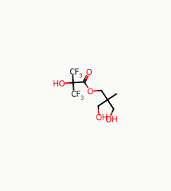 CC(CO)(CO)COC(=O)C(O)(C(F)(F)F)C(F)(F)F